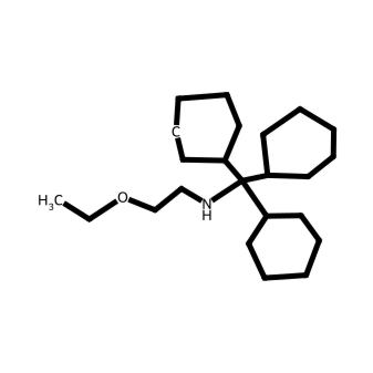 CCOCCNC(C1CCCCC1)(C1CCCCC1)C1CCCCC1